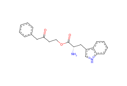 N[C@@H](Cc1c[nH]c2ccccc12)C(=O)OCCC(=O)Cc1ccccc1